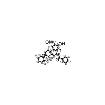 COc1cc2c(c(C)c1O)C(SC(=O)c1ccccc1)C=C1[C@@]2(C)CC[C@@]2(C)[C@@H]3C[C@@H](C)CC[C@]3(C)CC[C@]12C